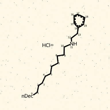 CCCCCCCCCCCCCCCCCCCCNCCc1ccccc1.Cl